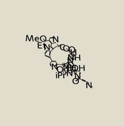 CCn1c(-c2cnccc2COC)c2c3cc(ccc31)-c1ccnc(c1)C[C@H](NC(=O)[C@H](C(C)C)N(C)C(=O)[C@@]1(O)CCN(C(=O)C#CCN(C)C)C1)C(=O)N1CCC[C@H](N1)C(=O)OCC(C)(C)C2